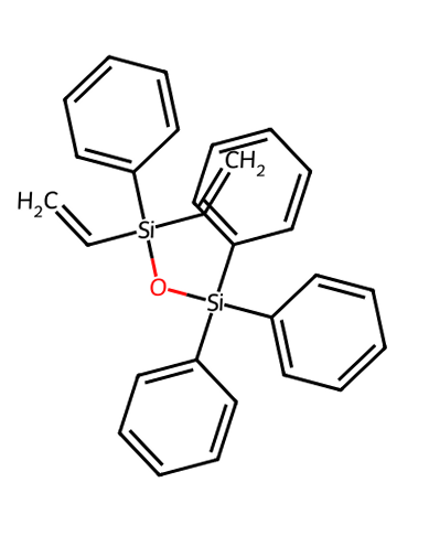 C=C[Si](C=C)(O[Si](c1ccccc1)(c1ccccc1)c1ccccc1)c1ccccc1